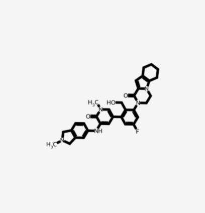 CN1Cc2ccc(Nc3cc(-c4cc(F)cc(N5CCn6c(cc7c6CCCC7)C5=O)c4CO)cn(C)c3=O)cc2C1